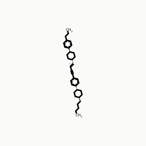 CCCCC[C@H]1CC[C@H](c2ccc(C#C/C=C/[C@H]3CC[C@H](c4ccc(CCC)cc4)CC3)cc2)CC1